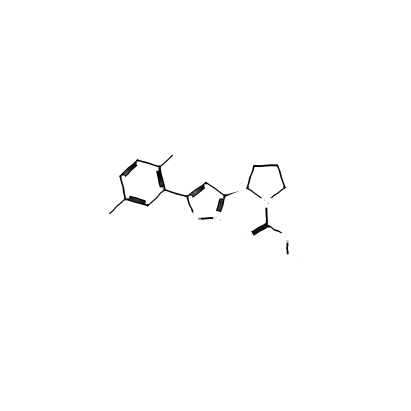 Cc1ccc(F)c(-c2cc([C@H]3CCCN3C(=O)OC(C)(C)C)no2)c1